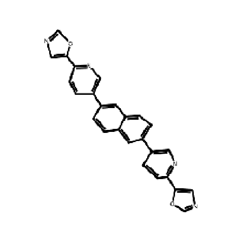 c1ncc(-c2ccc(-c3ccc4cc(-c5ccc(-c6cnco6)nc5)ccc4c3)cn2)o1